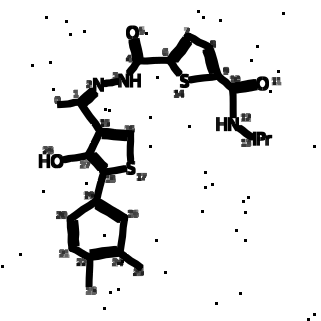 C/C(=N/NC(=O)c1ccc(C(=O)NC(C)C)s1)c1csc(-c2ccc(C)c(C)c2)c1O